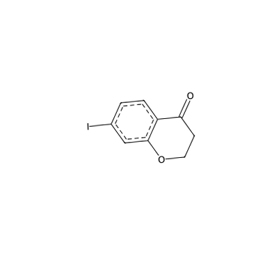 O=C1CCOc2cc(I)ccc21